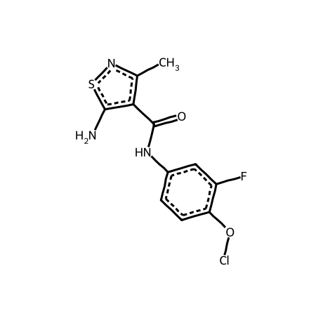 Cc1nsc(N)c1C(=O)Nc1ccc(OCl)c(F)c1